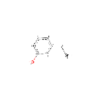 Oc1cccc([CH2][SnH])c1